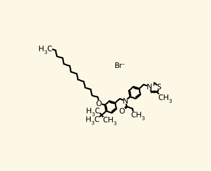 CCCCCCCCCCCCCCOc1cc(CN(C(=O)CC)c2ccc(C[n+]3csc(C)c3)cc2)ccc1C(C)(C)C.[Br-]